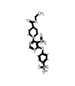 CCOC(=O)C1CCN(c2ncnc(Oc3ccc(S(=O)(=O)O)cc3)c2[N+](=O)[O-])CC1